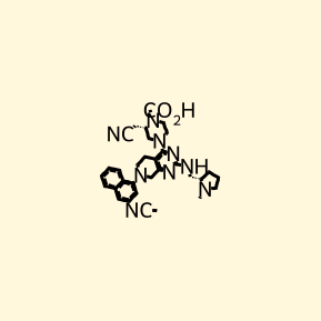 CC#N.CN1CCC[C@H]1CNc1nc2c(c(N3CCN(C(=O)O)[C@@H](CC#N)C3)n1)CCN(c1cccc3ccccc13)C2